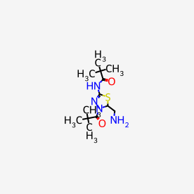 CC(C)(C)C(=O)NC1=NN(C(=O)C(C)(C)C)C(CN)S1